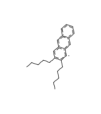 CCCCCc1[c]c2cc3ccccc3cc2cc1CCCCC